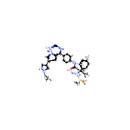 Cn1cc(-c2cc3c(-c4ccc(NC(=O)C(C)(N[S+]([O-])C(C)(C)C)c5ccc(Cl)cc5)cc4)ncnn3c2)cn1